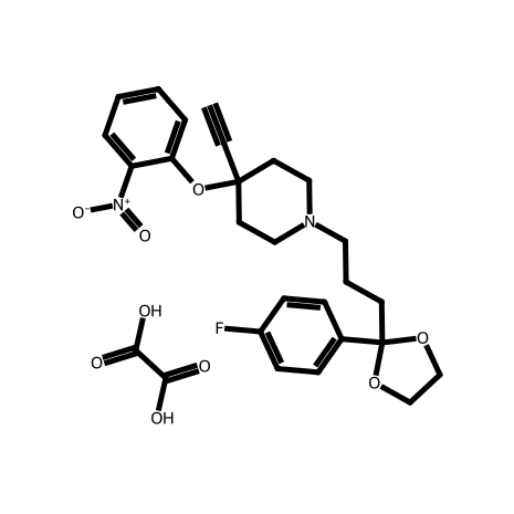 C#CC1(Oc2ccccc2[N+](=O)[O-])CCN(CCCC2(c3ccc(F)cc3)OCCO2)CC1.O=C(O)C(=O)O